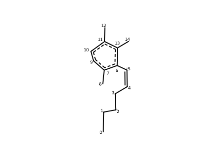 CCCC/C=[C]\c1c(C)ccc(C)c1C